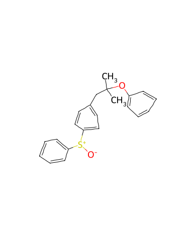 CC(C)(Cc1ccc([S+]([O-])c2ccccc2)cc1)Oc1ccccc1